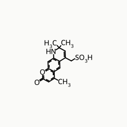 Cc1cc(=O)oc2cc3c(cc12)C(CS(=O)(=O)O)=CC(C)(C)N3